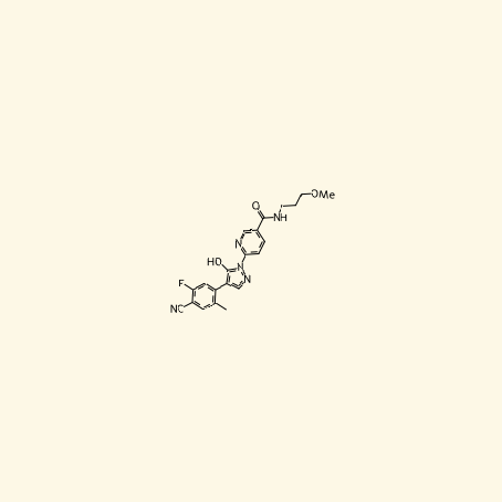 COCCCNC(=O)c1ccc(-n2ncc(-c3cc(F)c(C#N)cc3C)c2O)nc1